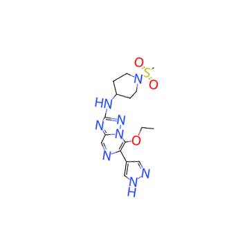 CCOc1c(-c2cn[nH]c2)ncc2nc(NC3CCN(S(C)(=O)=O)CC3)nn12